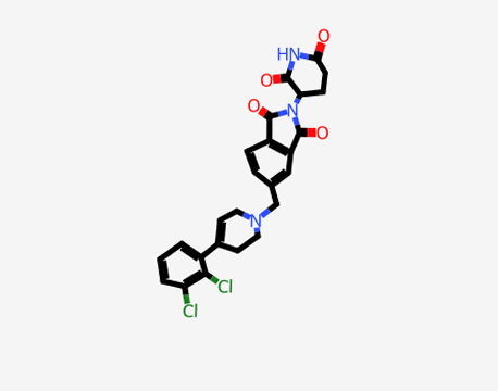 O=C1CCC(N2C(=O)c3ccc(CN4CC=C(c5cccc(Cl)c5Cl)CC4)cc3C2=O)C(=O)N1